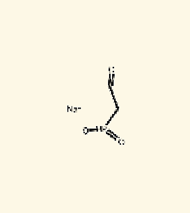 O=CC[PH](=O)[O-].[Na+]